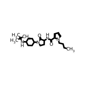 CCCCn1cccc1C(=O)NC1CCN(C2CCC(NC(C)(C)C)CC2)C1=O